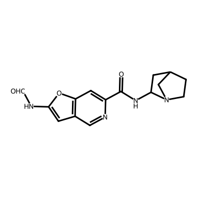 O=CNc1cc2cnc(C(=O)NC3CC4CCN3C4)cc2o1